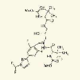 COC(=O)NC(C(=O)NC[C@@H](O)CN(Cc1c(F)cc(-c2ccn(C(F)F)n2)cc1F)NC(=O)[C@@H](NC(=O)OC)C(C)(C)C(F)(F)F)C(C)(C)C(F)(F)F